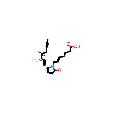 CC#CC[C@H](C)[C@H](O)C=C[C@H]1CCC(=O)N1CC=CCCCC(=O)O